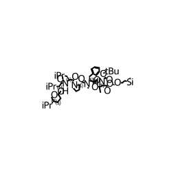 CC(C)C[C@H](NC(=O)[C@@H](OC(=O)C[C@H](C)[C@H](C)C(C)C)C(C)C)C(=O)N1CCC[C@H]1C(=O)N(C)[C@@H](Cc1ccccc1)C(=O)OC(C)[C@H](NC(=O)OC(C)(C)C)C(=O)OCOCC[Si](C)(C)C